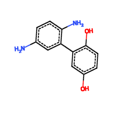 Nc1ccc(N)c(-c2cc(O)ccc2O)c1